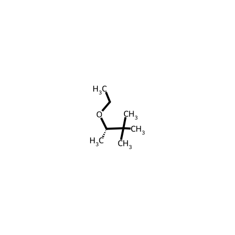 CCO[C@@H](C)C(C)(C)C